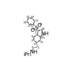 CC(C)NCCc1ccc2c(S(=O)(=O)c3ccccc3)c[nH]c2c1